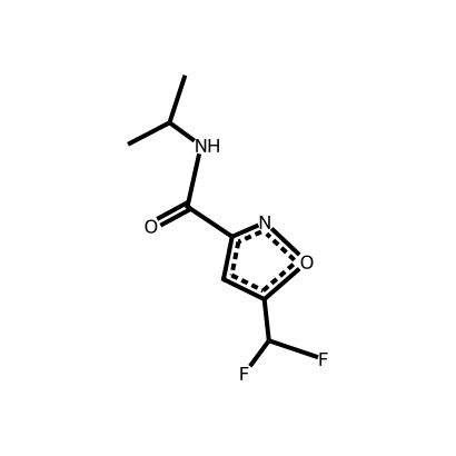 CC(C)NC(=O)c1cc(C(F)F)on1